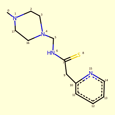 CN1CCN(CNC(=S)Cc2ccccn2)CC1